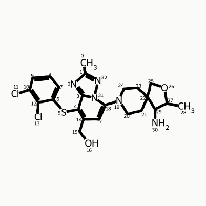 Cc1nc2c(Sc3cccc(Cl)c3Cl)c(CO)cc(N3CCC4(CC3)COC(C)C4N)n2n1